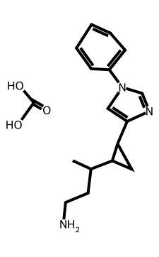 CC(CCN)C1CC1c1cn(-c2ccccc2)cn1.O=C(O)O